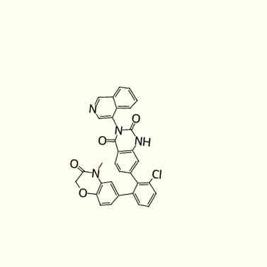 CN1C(=O)COc2ccc(-c3cccc(Cl)c3-c3ccc4c(=O)n(-c5cncc6ccccc56)c(=O)[nH]c4c3)cc21